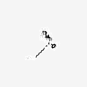 CCCCCCCCCCCCCCCCCCOC[C@H](COP(=O)(O)OC1[C@H]2O[C@@](C#N)(c3ccc4c(N)ncnn34)[C@H](O)[C@@]12O)N(C)Cc1ccc(F)c(Cl)c1